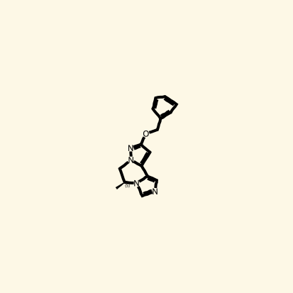 C[C@H]1Cn2nc(OCc3ccccc3)cc2-c2cncn21